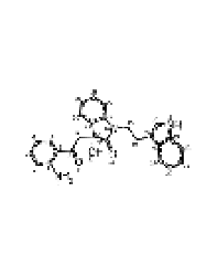 Nc1ccccc1C(=O)C[C@]1(O)C(=O)N(CCc2c[nH]c3ccccc23)c2ccccc21